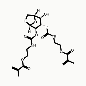 C=C(C)C(=O)OCCNC(=O)O[C@H]1[C@@H]2OC[C@@H](O2)[C@@H](O)[C@@H]1OC(=O)NCCOC(=O)C(=C)C